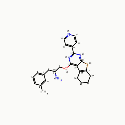 Cc1cccc(C[C@H](N)COc2nc(-c3ccncc3)nc3sc4c(c23)CCCC4)c1